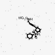 O=C(O)NCC#Cc1cccc(NS(=O)(=O)C2CCCCC2)c1